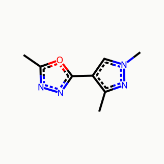 Cc1nnc(-c2cn(C)nc2C)o1